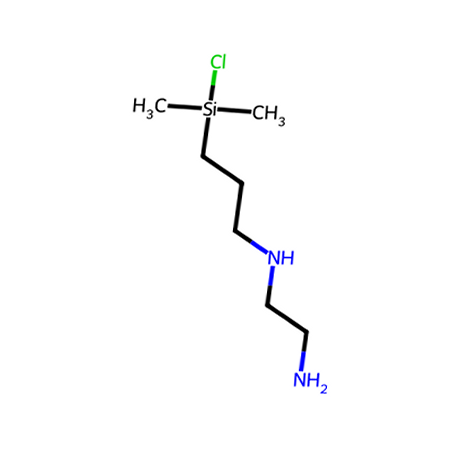 C[Si](C)(Cl)CCCNCCN